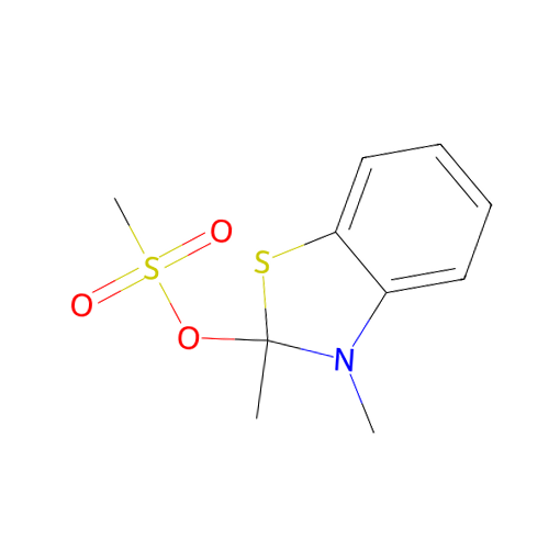 CN1c2ccccc2SC1(C)OS(C)(=O)=O